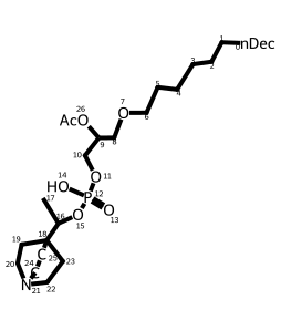 CCCCCCCCCCCCCCCCOCC(COP(=O)(O)OC(C)C12CCN(CC1)CC2)OC(C)=O